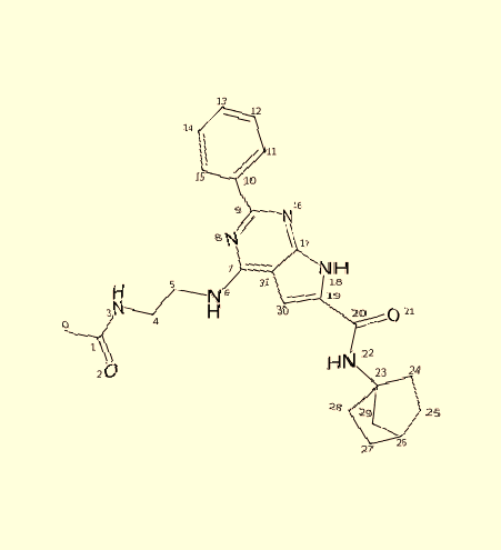 CC(=O)NCCNc1nc(-c2ccccc2)nc2[nH]c(C(=O)NC34CCC(CC3)C4)cc12